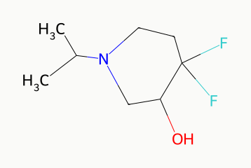 CC(C)N1CCC(F)(F)C(O)C1